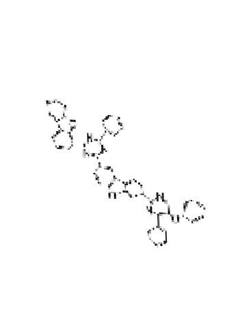 c1ccc(Oc2cnc(-c3ccc4c(c3)oc3ccc(-c5nc(-c6ccccc6)nc(-c6cccc7c6oc6ccccc67)n5)cc34)nc2-c2ccccc2)cc1